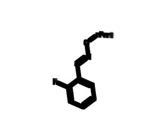 CCCCCO/N=[C]/c1ccccc1F